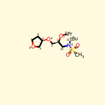 CC(C)O[C@H](CO[C@@H]1CCOC1)CN(C(C)(C)C)S(C)(=O)=O